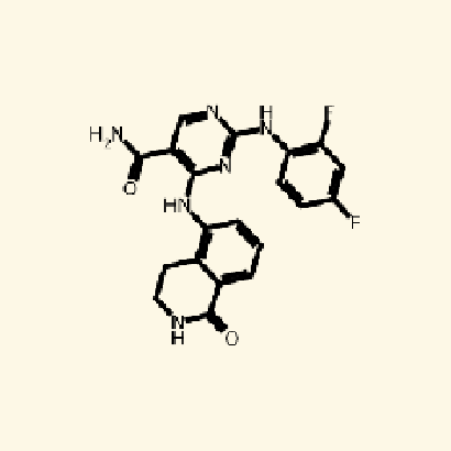 NC(=O)c1cnc(Nc2ccc(F)cc2F)nc1Nc1cccc2c1CCNC2=O